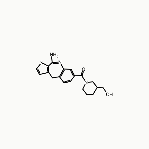 NC1=Nc2cc(C(=O)N3CCCC(CO)C3)ccc2Cc2ccsc21